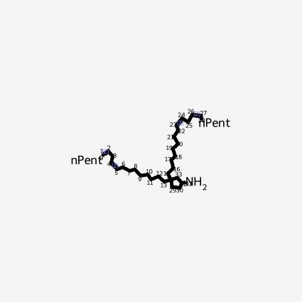 CCCCC/C=C\C/C=C\CCCCCCCCC1(CCCCCCCC/C=C\C/C=C\CCCCC)CCC(N)C1